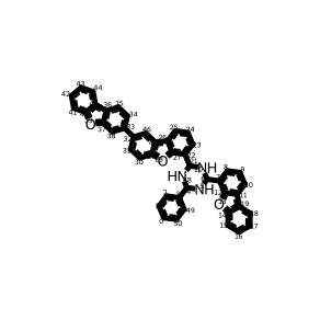 c1ccc(C2NC(c3cccc4c3oc3ccccc34)NC(c3cccc4c3oc3ccc(-c5ccc6c(c5)oc5ccccc56)cc34)N2)cc1